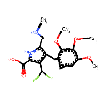 CNCc1[nH]c(C(=O)O)c(C(F)F)c1-c1ccc(OC)c(OC)c1OC